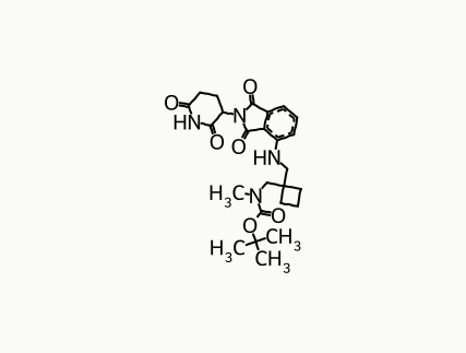 CN(CC1(CNc2cccc3c2C(=O)N(C2CCC(=O)NC2=O)C3=O)CCC1)C(=O)OC(C)(C)C